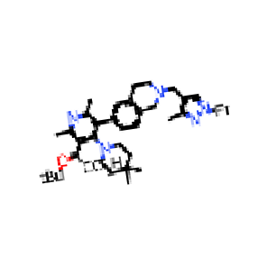 CCn1cc(CN2CCc3cc(-c4c(C)nc(C)c([C@H](OC(C)(C)C)C(=O)O)c4N4CCC(C)(C)CC4)ccc3C2)c(C)n1